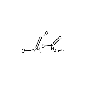 O.O=[PH2][O-].O=[PH2][O-].[Mn+2]